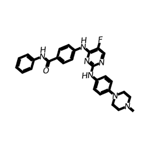 CN1CCN(c2ccc(Nc3ncc(F)c(Nc4ccc(C(=O)Nc5ccccc5)cc4)n3)cc2)CC1